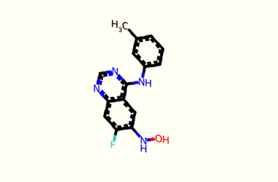 Cc1cccc(Nc2ncnc3cc(F)c(NO)cc23)c1